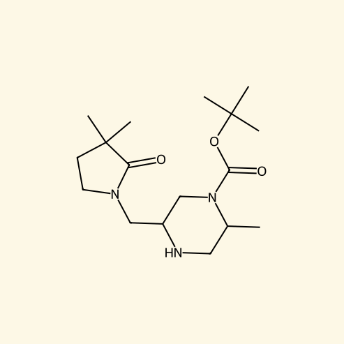 CC1CNC(CN2CCC(C)(C)C2=O)CN1C(=O)OC(C)(C)C